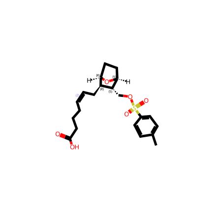 Cc1ccc(S(=O)(=O)OC[C@@H]2[C@@H](C/C=C\CCCC(=O)O)[C@H]3CC[C@@H]2O3)cc1